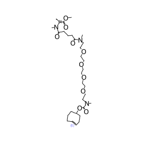 COC(=O)[C@H](C)N(C)C(=O)CCCC(=O)N(C)CCOCCOCCOCCOCCN(C)C(=O)OC1CC/C=C/CCC1